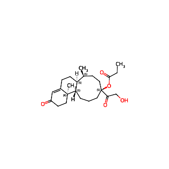 CCC(=O)O[C@@]1(C(=O)CO)CCC[C@H]2[C@@H](CCC3=CC(=O)CC[C@@]32C)[C@@H](C)CC1